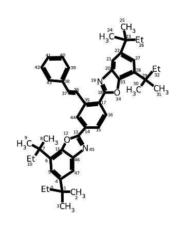 CCC(C)(C)c1cc(C(C)(C)CC)c2oc(-c3ccc(-c4nc5cc(C(C)(C)CC)cc(C(C)(C)CC)c5o4)c(C=Cc4ccccc4)c3)nc2c1